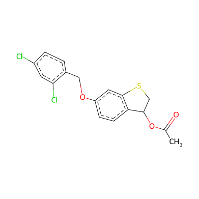 CC(=O)OC1CSc2cc(OCc3ccc(Cl)cc3Cl)ccc21